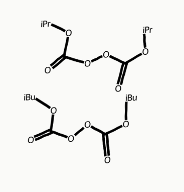 CC(C)OC(=O)OOC(=O)OC(C)C.CCC(C)OC(=O)OOC(=O)OC(C)CC